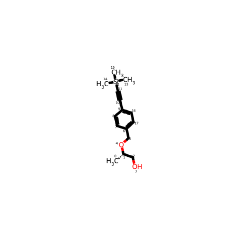 C[C@@H](CO)OCc1ccc(C#C[Si](C)(C)C)cc1